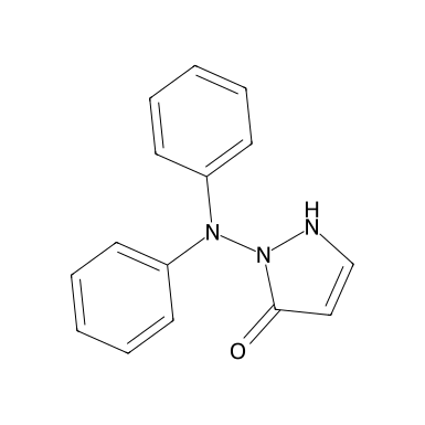 O=c1cc[nH]n1N(c1ccccc1)c1ccccc1